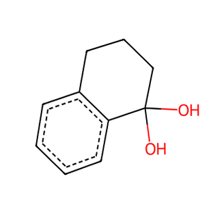 OC1(O)CCCc2ccccc21